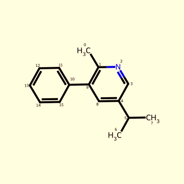 Cc1ncc(C(C)C)cc1-c1ccccc1